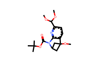 COC(OC)c1ccc2c(n1)N(C(=O)OC(C)(C)C)C1CC2(OC)C1